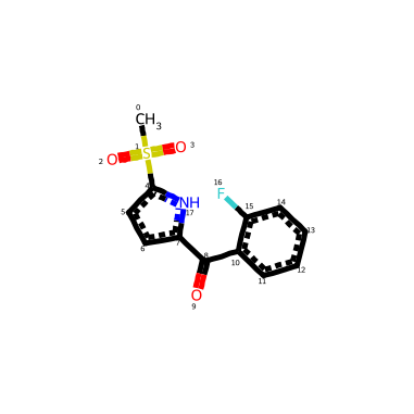 CS(=O)(=O)c1ccc(C(=O)c2ccccc2F)[nH]1